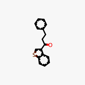 O=C(CCc1ccccc1)c1csc2ccccc12